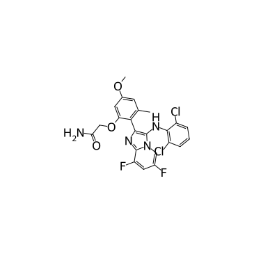 COc1cc(C)c(-c2nc3c(F)cc(F)cn3c2Nc2c(Cl)cccc2Cl)c(OCC(N)=O)c1